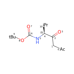 CC(=O)CC(=O)[C@@H](NC(=O)OC(C)(C)C)C(C)C